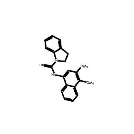 COc1cc(NC(=N)N2CCc3ccccc32)c2ccccc2c1OC